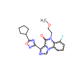 COCCn1c(=O)c2c(-c3noc(C4CCCC4)n3)ncn2c2cccc(F)c21